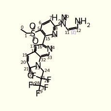 CCS(=O)(=O)c1ccc(N(N)/C=C\N)nc1-c1cc2ccc(=O)n(CC(F)(F)C(F)(F)F)c2cn1